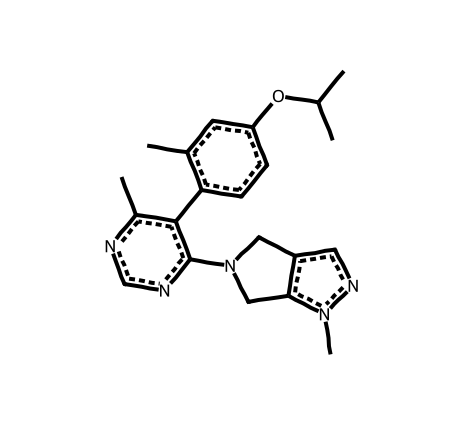 Cc1cc(OC(C)C)ccc1-c1c(C)ncnc1N1Cc2cnn(C)c2C1